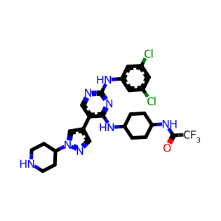 O=C(NC1CCC(Nc2nc(Nc3cc(Cl)cc(Cl)c3)ncc2-c2cnn(C3CCNCC3)c2)CC1)C(F)(F)F